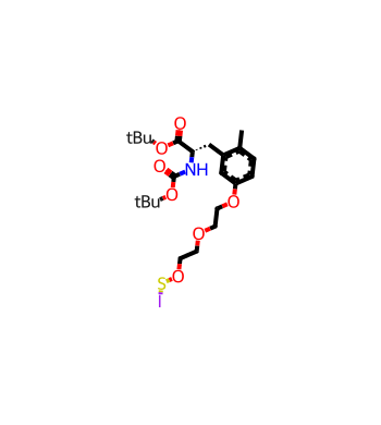 Cc1ccc(OCCOCCOSI)cc1C[C@H](NC(=O)OC(C)(C)C)C(=O)OC(C)(C)C